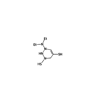 CCN(CC)N1C=C(S)CN(S)N1